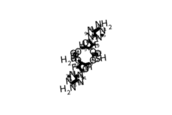 B[P@@]1(=O)OC[C@H]2O[C@@H](n3cnc4c(N)ncnc43)C(F)C2O[P@](=O)(S)OC[C@H]2O[C@@H](n3cnc4c(N)ncnc43)C(F)C2O1